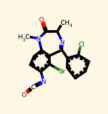 CC1N=C(c2ccccc2Cl)c2c(ccc(N=C=O)c2Br)N(C)C1=O